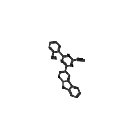 COc1nc(C2=CCC3Sc4ccccc4C3=C2)nc(-c2ccccc2O)n1